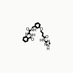 O=C(CCCOc1cccc(CNC(=O)c2nc3ccccc3c(=O)[nH]2)c1)Nc1nc[nH]n1